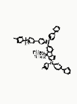 CCCCCCC1(CCCCCC)c2cc(N(c3ccc(C)cc3)c3ccc(-c4ccccc4)cc3)ccc2-c2ccc(N(c3ccc(-c4ccccc4)cc3)c3ccc(-c4ccc(C(C)(CC)c5ccc(C)cc5)cc4)cc3)cc21